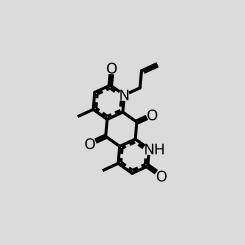 C=CCn1c2c(c(C)cc1=O)C(=O)c1c(C)cc(=O)[nH]c1C2=O